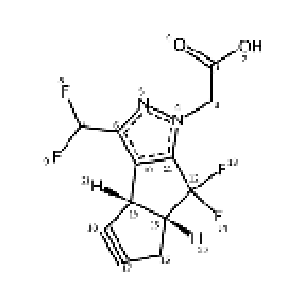 O=C(O)Cn1nc(C(F)F)c2c1C(F)(F)[C@@H]1CC#C[C@H]21